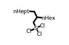 CCCCCCCCC(CCCCCC)C[Si](Cl)(Cl)Cl